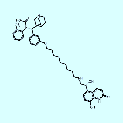 Cc1ccccc1N(C(=O)O)[C@@H](c1cccc(OCCCCCCCCCNC[C@H](O)c2ccc(O)c3[nH]c(=O)ccc23)c1)C1CN2CCC1CC2